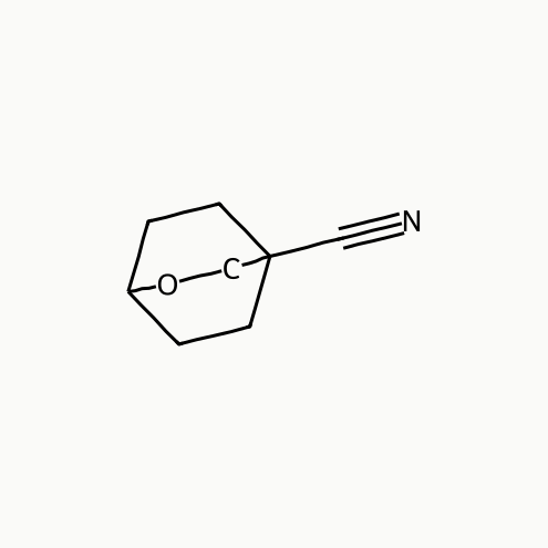 N#CC12CCC(CC1)OC2